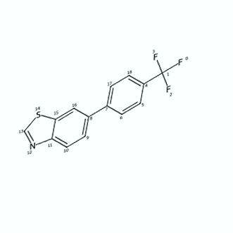 FC(F)(F)c1ccc(-c2ccc3ncsc3c2)cc1